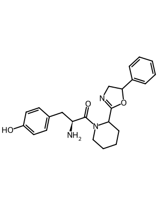 N[C@@H](Cc1ccc(O)cc1)C(=O)N1CCCCC1C1=NCC(c2ccccc2)O1